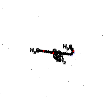 CCCCC/C=C\C/C=C\CCCCCCCCCC(=O)O[C@H](COC(=O)CCCCCCCCCCCCCCCC)COP(=O)(O)OCCN